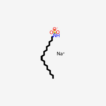 CCCCCCCC/C=C\CCCCCCCCNS(=O)(=O)[O-].[Na+]